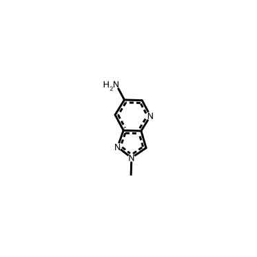 Cn1cc2ncc(N)cc2n1